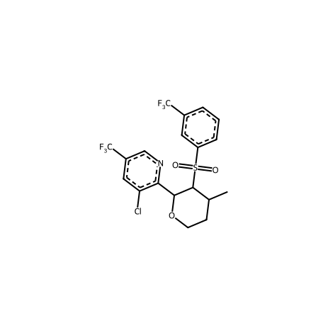 CC1CCOC(c2ncc(C(F)(F)F)cc2Cl)C1S(=O)(=O)c1cccc(C(F)(F)F)c1